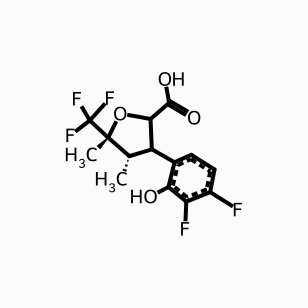 C[C@H]1C(c2ccc(F)c(F)c2O)C(C(=O)O)O[C@@]1(C)C(F)(F)F